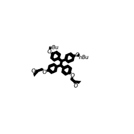 CCCCOc1ccc(C(c2ccc(OCCCC)cc2)C(c2ccc(OCC3CO3)cc2)c2ccc(OCC3CO3)cc2)cc1